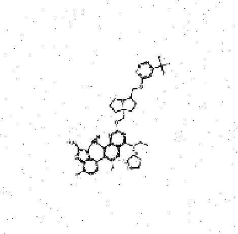 CCN(c1nc(OCC23CCCN2C(COc2cc(C(F)(F)F)ncn2)CC3)nc2c(F)c(-c3ccc(F)c4sc(N)c(C#N)c34)c(Cl)cc12)[C@@H]1CCN[C@@H]1C